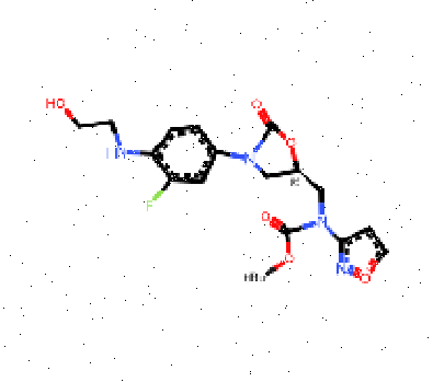 CC(C)(C)OC(=O)N(C[C@H]1CN(c2ccc(NCCO)c(F)c2)C(=O)O1)c1ccon1